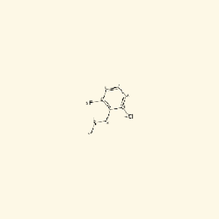 CSCc1c(F)cccc1Cl